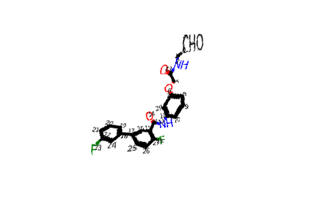 O=CCNC(=O)COc1cccc(NC(=O)c2cc(-c3cccc(F)c3)ccc2F)c1